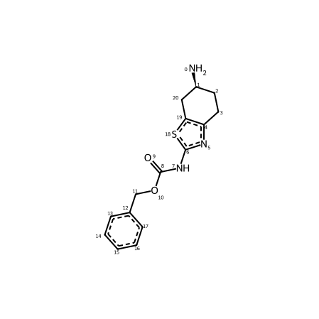 N[C@H]1CCc2nc(NC(=O)OCc3ccccc3)sc2C1